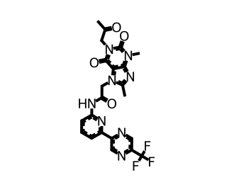 CC(=O)Cn1c(=O)c2c(nc(C)n2CC(=O)Nc2cccc(-c3cnc(C(F)(F)F)cn3)n2)n(C)c1=O